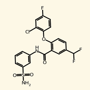 NS(=O)(=O)c1cccc(NC(=O)c2cc(C(F)F)ccc2Oc2ccc(F)cc2Cl)c1